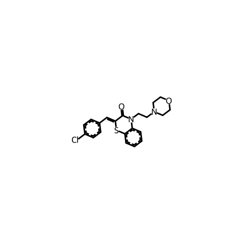 O=C1C(=Cc2ccc(Cl)cc2)Sc2ccccc2N1CCN1CCOCC1